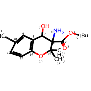 CC(C)(C)OC(=O)C1(N)C(O)c2cc(C#N)ccc2OC1(C)C